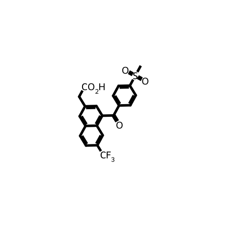 CS(=O)(=O)c1ccc(C(=O)c2cc(CC(=O)O)cc3ccc(C(F)(F)F)cc23)cc1